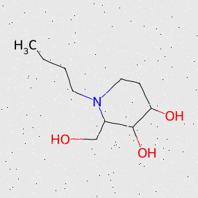 CCCCN1CCC(O)C(O)C1CO